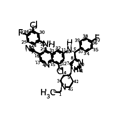 CCN1CCC(n2cc([C@H](Nc3cc(Cl)c4ncc(C#N)c(Nc5ccc(F)c(Cl)c5)c4c3)c3ccc(F)cc3)nn2)CC1